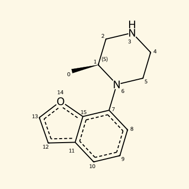 C[C@H]1CNCCN1c1cccc2ccoc12